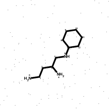 NCCC(N)CNC1CCCCC1